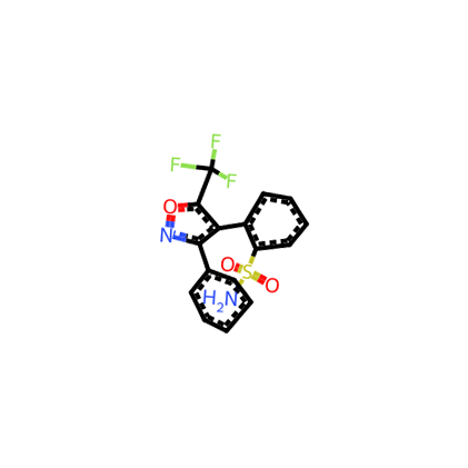 NS(=O)(=O)c1ccccc1-c1c(-c2ccccc2)noc1C(F)(F)F